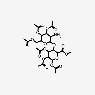 COC(=O)C1OC(OC(C)=O)C(OC(C)=O)C(OC(C)=O)C1OC1OC(COC(C)=O)C(OC(C)=O)C(OC(C)=O)C1N